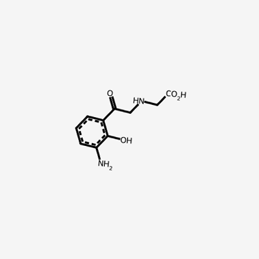 Nc1cccc(C(=O)CNCC(=O)O)c1O